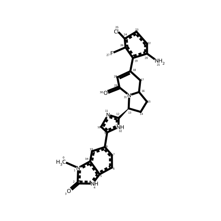 Cn1c(=O)[nH]c2ccc(-c3cnc([C@@H]4CCC5CC(c6c(N)ccc(Cl)c6F)=CC(=O)N54)[nH]3)cc21